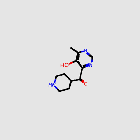 Cc1ncnc(C(=O)C2CCNCC2)c1O